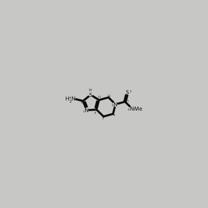 CNC(=S)N1CCc2nc(N)sc2C1